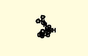 CC1=C(C(=O)O)C(c2cccc([N+](=O)[O-])c2)N(CCN2CCN(C(c3ccccc3)c3ccccc3)CC2)C(=O)N1